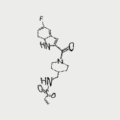 C=CS(=O)(=O)NCC1CCN(C(=O)C2=CC3=CC(F)=CCC3N2)CC1